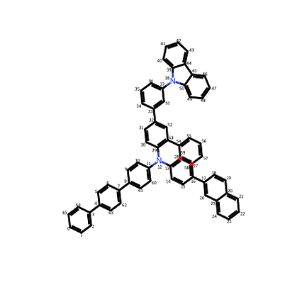 c1ccc(-c2ccc(-c3ccc(N(c4ccc(-c5ccc6ccccc6c5)cc4)c4ccc(-c5cccc(-n6c7ccccc7c7ccccc76)c5)cc4-c4ccccc4)cc3)cc2)cc1